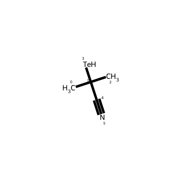 CC(C)([TeH])C#N